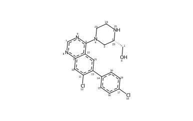 OC[C@@H]1CN(c2ncnc3cc(Cl)c(-c4ccc(Cl)cc4)cc23)CCN1